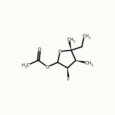 CC[C@@]1(C)OC(OC(C)=O)[C@H](F)[C@@H]1C